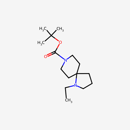 CCN1CCCC12CCN(C(=O)OC(C)(C)C)CC2